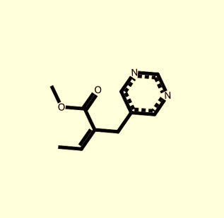 CC=C(Cc1cncnc1)C(=O)OC